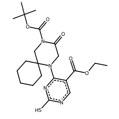 CCOC(=O)c1cnc(S)nc1N1CC(=O)N(C(=O)OC(C)(C)C)CC12CCCCC2